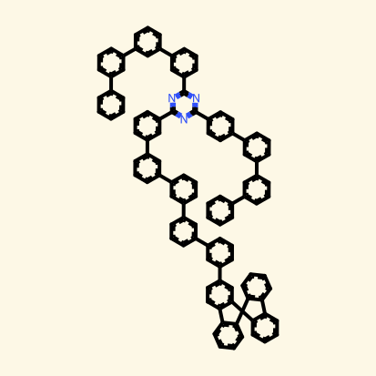 c1ccc(-c2cccc(-c3cccc(-c4ccc(-c5nc(-c6cccc(-c7cccc(-c8cccc(-c9ccccc9)c8)c7)c6)nc(-c6cccc(-c7cccc(-c8cccc(-c9cccc(-c%10cccc(-c%11ccc%12c(c%11)C%11(c%13ccccc%13-c%13ccccc%13%11)c%11ccccc%11-%12)c%10)c9)c8)c7)c6)n5)cc4)c3)c2)cc1